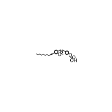 CCCCCCCCC#Cc1ccc(CN(Cc2ccc(OCC(=O)O)cc2)C(C)=O)cc1